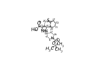 CC(C)(C)OC(=O)N1CCC(n2nc(C(=O)O)c3c2-c2ccccc2SC3)CC1